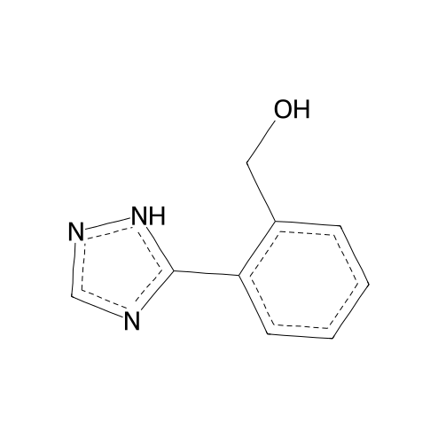 OCc1ccccc1-c1ncn[nH]1